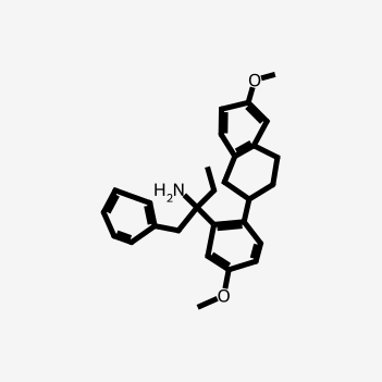 CCC(N)(Cc1ccccc1)c1cc(OC)ccc1C1CCc2cc(OC)ccc2C1